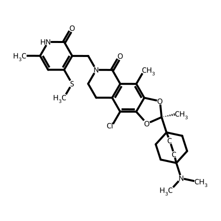 CSc1cc(C)[nH]c(=O)c1CN1CCc2c(Cl)c3c(c(C)c2C1=O)O[C@@](C)(C12CCC(N(C)C)(CC1)CC2)O3